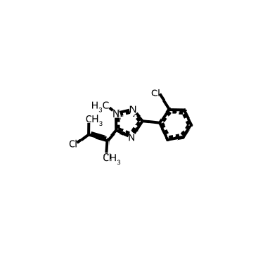 C/C(Cl)=C(/C)c1nc(-c2ccccc2Cl)nn1C